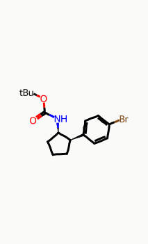 CC(C)(C)OC(=O)N[C@@H]1CCC[C@@H]1c1ccc(Br)cc1